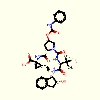 C=C[C@@H]1C[C@]1(NC(=O)[C@@H]1C[C@@H](OC(=O)Nc2ccccc2)CN1C(=O)N[C@H](C(=O)N[C@H]1c2ccccc2C[C@H]1O)C(C)(C)C)C(=O)O